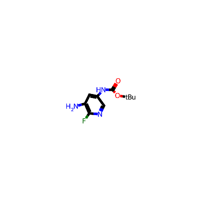 CC(C)(C)OC(=O)Nc1cnc(F)c(N)c1